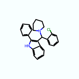 Clc1ccccc1C(c1c(-c2ccccc2)[nH]c2ccccc12)N1CCCCC1